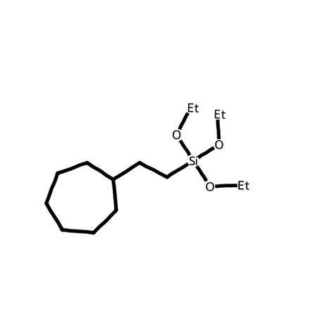 CCO[Si](CCC1CCCCCC1)(OCC)OCC